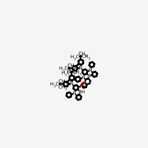 CC(C)(C)c1ccc2c(c1)c1cc(C(C)(C)C)ccc1n2-c1cc(N/C=C/C2=C(/C=C\c3ccccc3)B3c4ccccc4N(c4ccccc4)c4cc(-n5c6ccc(C(C)(C)C)cc6c6cc(C(C)(C)C)ccc65)cc(c43)N2c2ccccc2)c2c(c1)N(c1ccccc1)c1ccccc1B2